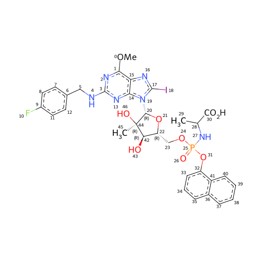 COc1nc(NCc2ccc(F)cc2)nc2c1nc(I)n2[C@@H]1O[C@H](COP(=O)(NC(C)C(=O)O)Oc2cccc3ccccc23)[C@@H](O)[C@@]1(C)O